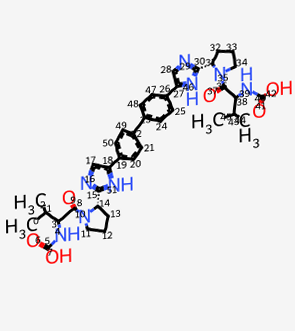 CC(C)C(NC(=O)O)C(=O)N1CCC[C@H]1c1ncc(-c2ccc(-c3ccc(-c4cnc([C@@H]5CCCN5C(=O)C(NC(=O)O)C(C)C)[nH]4)cc3)cc2)[nH]1